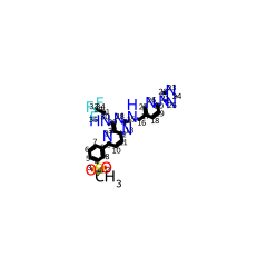 CS(=O)(=O)c1cccc(-c2ccc3nc(NCc4ccc(-n5cncn5)nc4)nc(NCC(F)(F)F)c3n2)c1